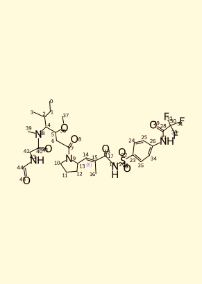 CCC(C)C(C(CC(=O)N1CCCC1/C=C(\C)C(=O)NS(=O)(=O)c1ccc(NC(=O)C(F)(F)F)cc1)OC)N(C)C(=O)CNC=O